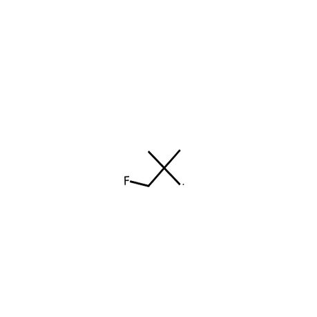 [CH2]C(C)(C)CF